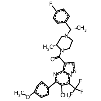 COc1ccc(-c2nc3c(C(=O)N4CCN([C@@H](C)c5ccc(F)cc5)C[C@H]4C)cnn3c(C(F)(F)F)c2C)cc1